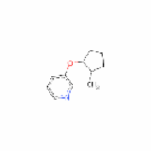 CC1CCCC1Oc1cccnc1